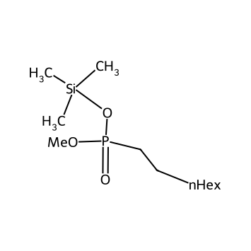 CCCCCCCCP(=O)(OC)O[Si](C)(C)C